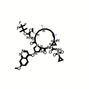 CC[C@@H]1C[C@H](C)CC/C=C\[C@@H]2C[C@@]2(C(=O)NS(=O)(=O)C2CC2)NC(=O)[C@@H]2C[C@@H](Oc3cnnc4cc(OC)ccc34)CN2C(=O)[C@H]1NC(=O)OC(C)(C)C(F)(F)F